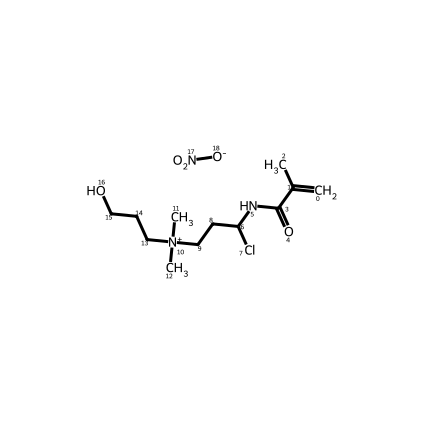 C=C(C)C(=O)NC(Cl)CC[N+](C)(C)CCCO.O=[N+]([O-])[O-]